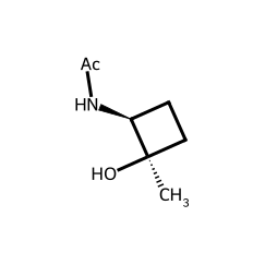 CC(=O)N[C@H]1CC[C@@]1(C)O